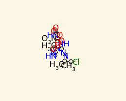 C[C@@H]1CN(c2cc(N3CCN(CC4=C(c5ccc(Cl)cc5)CC(C)(C)CC4)CC3)ccc2C(=O)NS(=O)(=O)c2cc3c(c([N+](=O)[O-])c2)N[C@H]([C@H]2COCCO2)CO3)c2cc3cc[nH]c3nc2O1